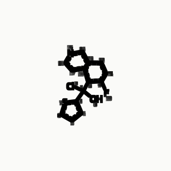 OC(Cl)(c1cccs1)c1c(F)ccc2cnccc12